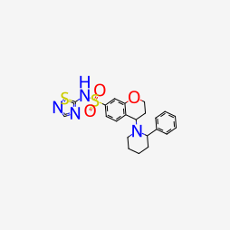 O=S(=O)(Nc1ncns1)c1ccc2c(c1)OCCC2N1CCCCC1c1ccccc1